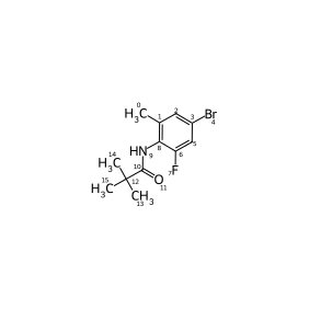 Cc1cc(Br)cc(F)c1NC(=O)C(C)(C)C